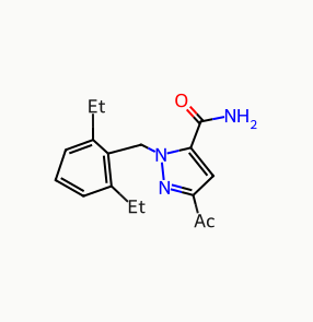 CCc1cccc(CC)c1Cn1nc(C(C)=O)cc1C(N)=O